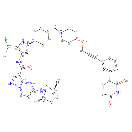 O=C1CCC(c2cccc(C#CCOC3CCN(C[C@H]4CC[C@H](n5cc(NC(=O)c6cnn7ccc(N8C[C@H]9C[C@@H]8CO9)nc67)c(C(F)F)n5)CC4)CC3)c2)C(=O)N1